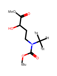 [2H]C([2H])([2H])N(CCC(O)C(=O)OC)C(=O)OC(C)(C)C